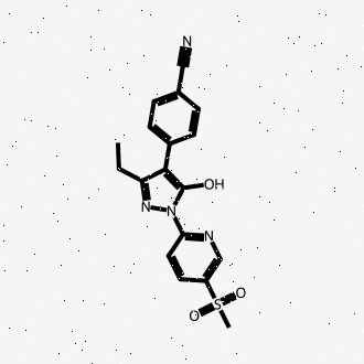 CCc1nn(-c2ccc(S(C)(=O)=O)cn2)c(O)c1-c1ccc(C#N)cc1